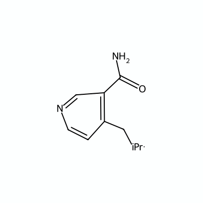 C[C](C)Cc1ccncc1C(N)=O